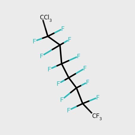 FC(F)(F)C(F)(F)C(F)(F)C(F)(F)C(F)(F)C(F)(F)C(F)(F)C(Cl)(Cl)Cl